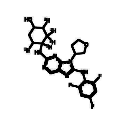 [2H]C1C(O)CC([2H])C([2H])(Nc2ncc3nc(Nc4c(F)cc(F)cc4F)n(C4CCOC4)c3n2)C1([2H])[2H]